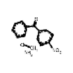 CCl.N.O=C(c1ccccc1)c1ccc([N+](=O)[O-])cc1